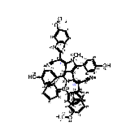 COc1ccc2sc(/C(C#N)=c3/c4c(-c5ccc(O)cc5)n(B(c5ccccc5)c5ccccc5)/c(=C(/C#N)c5nc6cc(OC)ccc6s5)c4c(-c4ccc(O)cc4)n3C)nc2c1